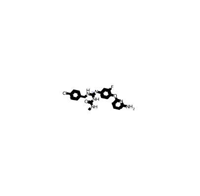 CNC(=O)N/C(=N\c1ccc(Oc2cccc(N)n2)c(F)c1)NCc1ccc(Cl)cc1